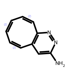 Nc1cc2c(nn1)\C=C/C=C\C=C/2